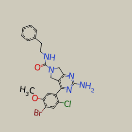 COc1cc(-c2nc(N)nc3c2CN(C(=O)NCCc2ccccc2)C3)c(Cl)cc1Br